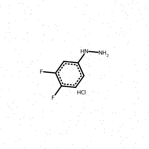 Cl.NNc1ccc(F)c(F)c1